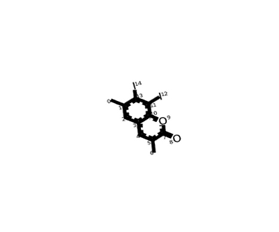 Cc1cc2cc(C)c(=O)oc2c(I)c1I